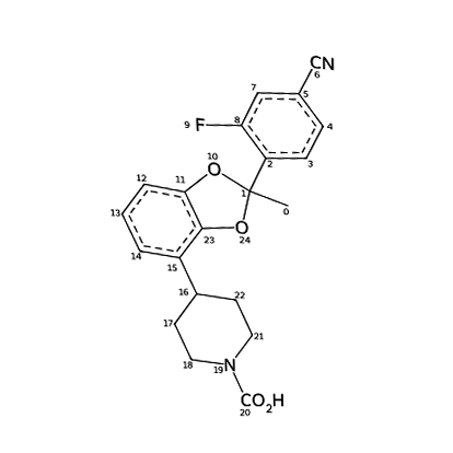 CC1(c2ccc(C#N)cc2F)Oc2cccc(C3CCN(C(=O)O)CC3)c2O1